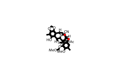 COCOc1c(OC)c(C)cc2c1[C@H]1C3[C@@H]4SC[C@H](NC(C)=O)C(=O)OC[C@@H](c5c6c(c(C)c(O)c54)OCO6)N3[C@@H](C#N)[C@H](C2)N1C